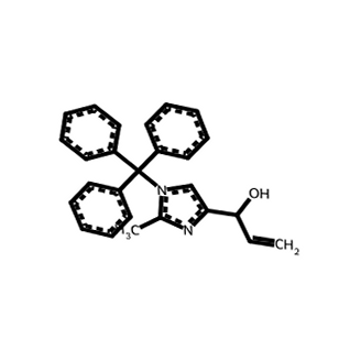 C=CC(O)c1cn(C(c2ccccc2)(c2ccccc2)c2ccccc2)c(C)n1